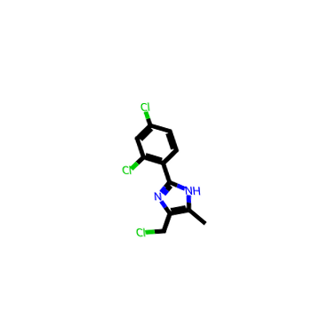 Cc1[nH]c(-c2ccc(Cl)cc2Cl)nc1CCl